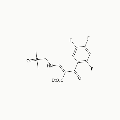 CCOC(=O)C(=CNCP(C)(C)=O)C(=O)c1cc(F)c(F)cc1F